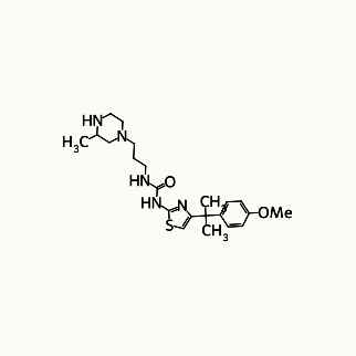 COc1ccc(C(C)(C)c2csc(NC(=O)NCCCN3CCNC(C)C3)n2)cc1